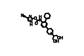 N#Cc1c[nH]c(OC(=O)Nc2ccc(C3CCN(C(CO)CO)CC3)cc2C2=CCCCC2)n1